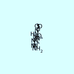 CCS(=O)(=O)c1ccc(CNc2nc3cnc(-c4c(C)nc(N)nc4C4CC4)nc3n(C(C)C3CC3)c2=O)nc1